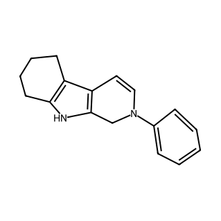 C1=CN(c2ccccc2)Cc2[nH]c3c(c21)CCCC3